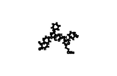 COCCN1C[C@@H](NC(=O)Nc2c(C)c(-c3cnc4c(ccc(=O)n4C)c3)nn2-c2ccccc2)[C@H](c2ccnc(F)c2)O1